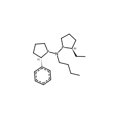 CCCCN(P1CCC[C@H]1CC)P1CCC[C@H]1c1ccccc1